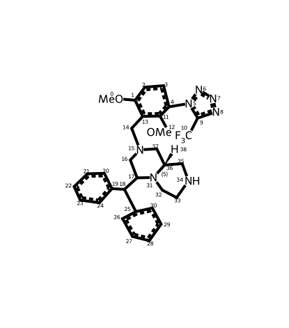 COc1ccc(-n2nnnc2C(F)(F)F)c(OC)c1CN1CC(C(c2ccccc2)c2ccccc2)N2CCNC[C@H]2C1